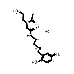 CC(=O)N(CCN)CC(=O)NCCNCc1cc(N)ccc1N.Cl